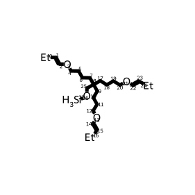 CCC=COCCCCC(CCCCOC=CCC)(CCCCOC=CCC)CO[SiH3]